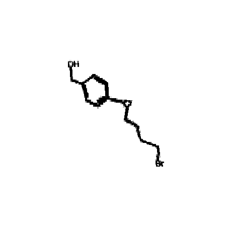 OCc1ccc(OCCCCBr)cc1